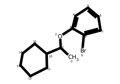 CC(Oc1ccccc1Br)C1CCCCC1